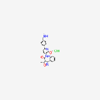 CNCc1ccc(-c2ccc(NC(=O)c3c(-c4ccccc4)noc3C)c(OC)n2)cc1.Cl